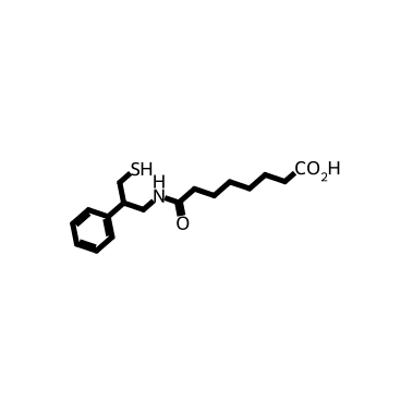 O=C(O)CCCCCCC(=O)NCC(CS)c1ccccc1